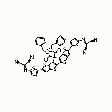 N#CC(C#N)=Nc1ccc(-c2cc3sc4c(c3s2)C(C(=O)OCc2ccccc2)(C(=O)OCc2ccccc2)c2c-4sc3cc(-c4ccc(N=C(C#N)C#N)s4)sc23)s1